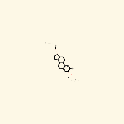 CCc1cc2c(cc1OCOC)CCC1C2CC[C@@]2(C)C1CC[C@@H]2OCCOC